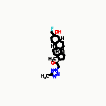 Cc1nnn(CC(=O)[C@H]2CC[C@H]3[C@@H]4CC[C@H]5C[C@@](O)(CF)CC[C@@H]5[C@H]4CC[C@]23C)n1